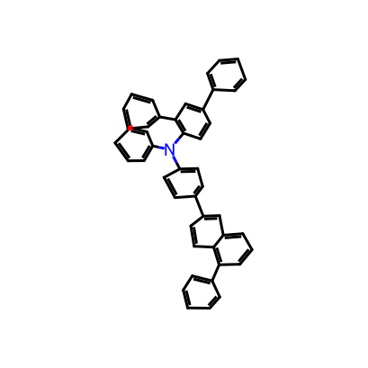 c1ccc(-c2ccc(N(c3ccccc3)c3ccc(-c4ccc5c(-c6ccccc6)cccc5c4)cc3)c(-c3ccccc3)c2)cc1